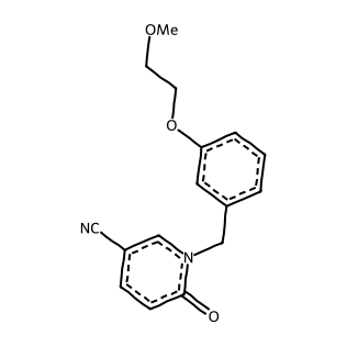 COCCOc1cccc(Cn2cc(C#N)ccc2=O)c1